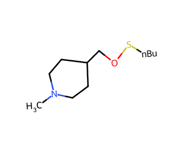 CCCCSOCC1CCN(C)CC1